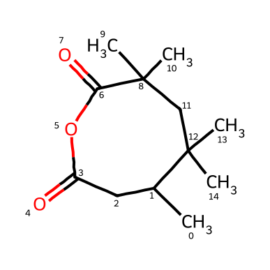 CC1CC(=O)OC(=O)C(C)(C)CC1(C)C